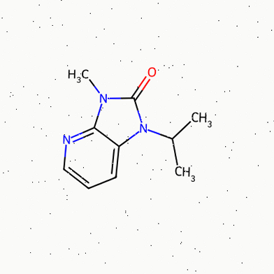 CC(C)n1c(=O)n(C)c2ncccc21